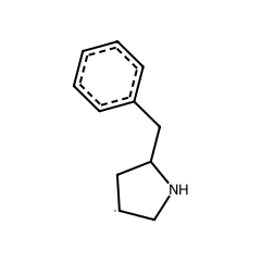 [CH]1CNC(Cc2ccccc2)C1